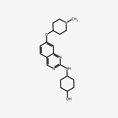 CN1CCC(Oc2ccc3cnc(NC4CCC(O)CC4)nc3c2)CC1